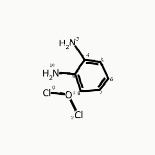 ClOCl.Nc1ccccc1N